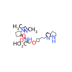 Cc1cc(C)n(C2CCCC[C@@H]2OC(=O)N[C@@H](CCO[C@H]2C[C@H](CCc3ccc4c(n3)NCCC4)C2)C(=O)O)n1